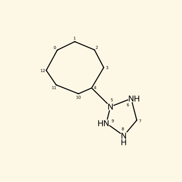 C1CCCC(N2NCNN2)CCC1